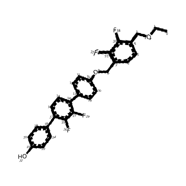 CCOCc1ccc(COc2ccc(-c3ccc(-c4ccc(O)cc4)c(F)c3F)cc2)c(F)c1F